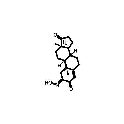 C[C@]12CC(=NO)C(=O)C=C1CC[C@@H]1[C@@H]2CC[C@]2(C)C(=O)CC[C@@H]12